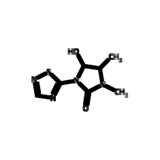 CC1C(O)N(c2ncns2)C(=O)N1C